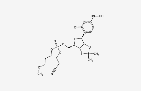 COCCCOP(=O)(OCCC#N)OC[C@H]1O[C@@H](n2ccc(NO)nc2=O)C2OC(C)(C)OC21